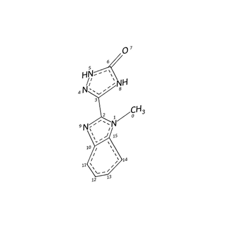 Cn1c(-c2n[nH]c(=O)[nH]2)nc2ccccc21